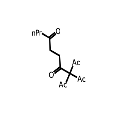 CCCC(=O)CCC(=O)C(C(C)=O)(C(C)=O)C(C)=O